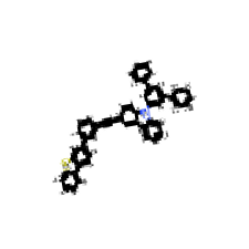 C(#Cc1ccc2c(c1)c1ccccc1n2-c1cc(-c2ccccc2)cc(-c2ccccc2)c1)c1cccc(-c2ccc3c(c2)sc2ccccc23)c1